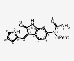 CCCCCN(C(N)=O)c1ccc2c(c1)NC(=O)C2=Cc1ccc[nH]1